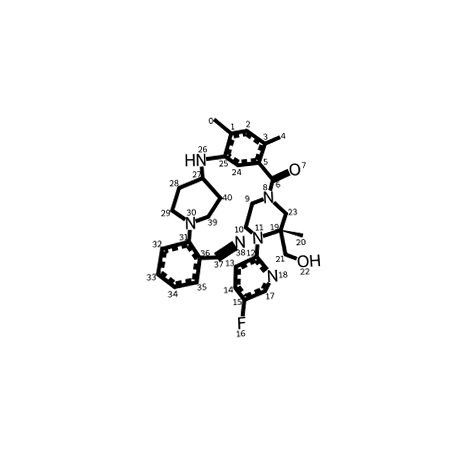 Cc1cc(C)c(C(=O)N2CCN(c3ccc(F)cn3)[C@@](C)(CO)C2)cc1NC1CCN(c2ccccc2C#N)CC1